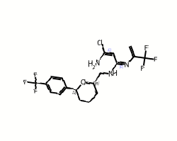 C=C(/N=C(\C=C(/N)Cl)NC[C@H]1CCC[C@@H](c2ccc(C(F)(F)F)cc2)O1)C(F)(F)F